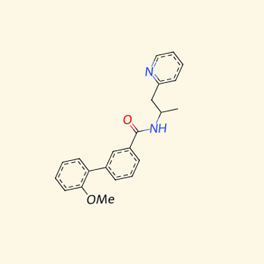 COc1ccccc1-c1cccc(C(=O)NC(C)Cc2ccccn2)c1